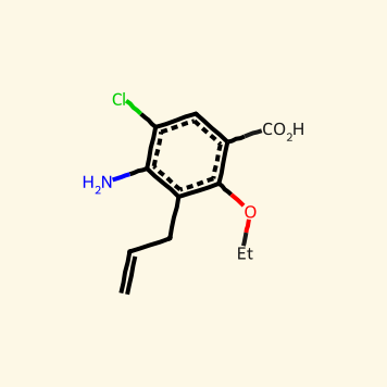 C=CCc1c(N)c(Cl)cc(C(=O)O)c1OCC